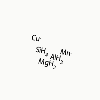 [AlH3].[Cu].[MgH2].[Mn].[SiH4]